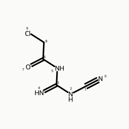 N#CNC(=N)NC(=O)CCl